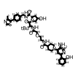 Cc1ncsc1-c1ccc(CNC(=O)[C@@H]2C[C@@H](O)CN2C(=O)[C@@H](NC(=O)COCCNC(=O)C2CCN(c3cc(-c4ccccc4O)nnc3N)CC2)C(C)(C)C)cc1